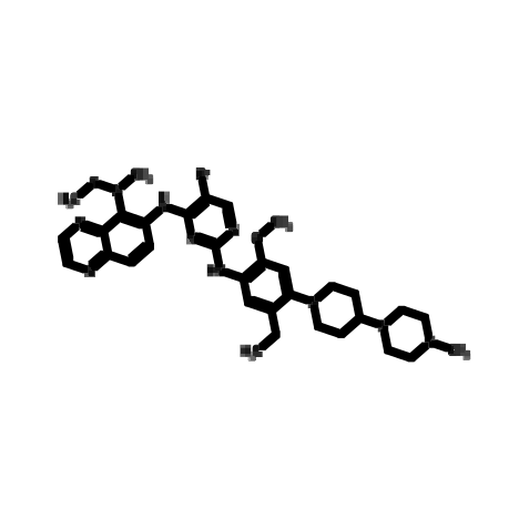 CCc1cc(Nc2ncc(Br)c(Nc3ccc4nccnc4c3N(C)SC)n2)c(OC)cc1N1CCC(N2CCN(C)CC2)CC1